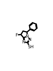 FC1CC(c2ccccc2)n2nc(S)nc21